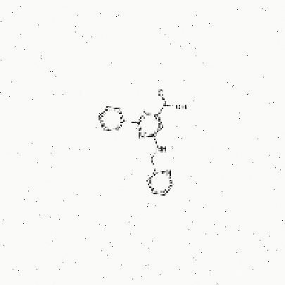 O=C(O)c1cc(NCc2ccccn2)nc(-c2ccccc2)n1